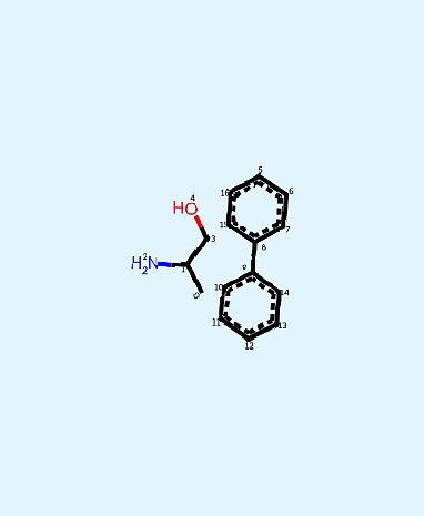 CC(N)CO.c1ccc(-c2ccccc2)cc1